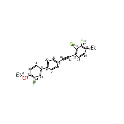 CCOc1ccc(-c2ccc(C#Cc3ccc(CC)c(F)c3F)cc2)cc1F